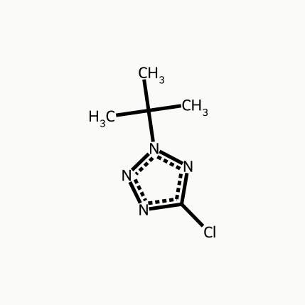 CC(C)(C)n1nnc(Cl)n1